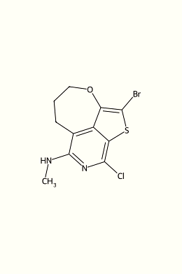 CNc1nc(Cl)c2sc(Br)c3c2c1CCCO3